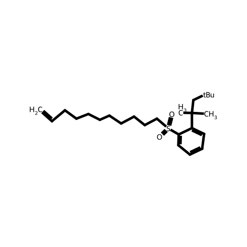 C=CCCCCCCCCCS(=O)(=O)c1ccccc1C(C)(C)CC(C)(C)C